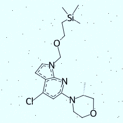 C[C@@H]1COCCN1c1cc(Cl)c2ccn(COCC[Si](C)(C)C)c2n1